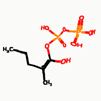 CCCC(C)=C(O)OP(=O)(O)OP(=O)(O)O